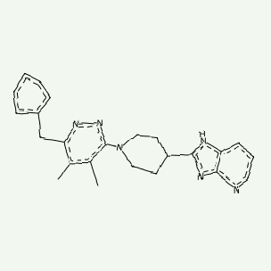 Cc1c(Cc2ccccc2)nnc(N2CCC(c3nc4ncccc4[nH]3)CC2)c1C